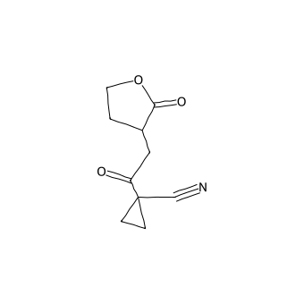 N#CC1(C(=O)CC2CCOC2=O)CC1